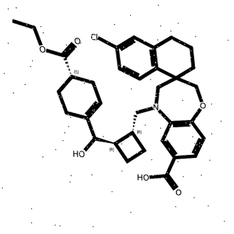 CCOC(=O)[C@@H]1CC=C(C(O)[C@@H]2CC[C@H]2CN2CC3(CCCc4cc(Cl)ccc43)COc3ccc(C(=O)O)cc32)CC1